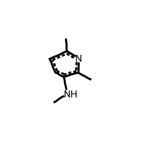 CNc1ccc(C)nc1C